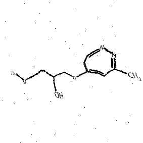 Cc1cc(OCC(O)COC(C)(C)C)cnn1